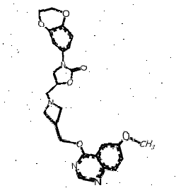 COc1ccc2ncnc(OCC3CN(CC4CN(c5ccc6c(c5)OCCO6)C(=O)O4)C3)c2c1